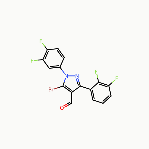 O=Cc1c(-c2cccc(F)c2F)nn(-c2ccc(F)c(F)c2)c1Br